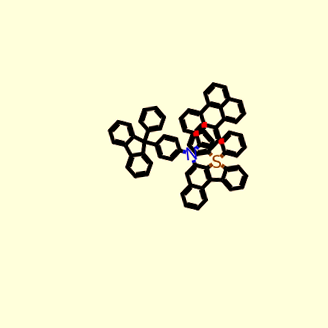 c1ccc(-c2cccc3cccc(-c4ccc(N(c5ccc(C6(c7ccccc7)c7ccccc7-c7ccccc76)cc5)c5cc6ccccc6c6c5S(c5ccccc5)(c5ccccc5)c5ccccc5-6)cc4)c23)cc1